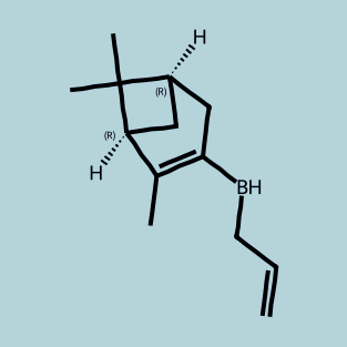 C=CCBC1=C(C)[C@@H]2C[C@H](C1)C2(C)C